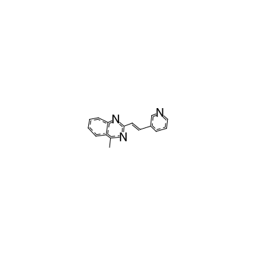 Cc1nc(/C=C/c2cccnc2)nc2ccccc12